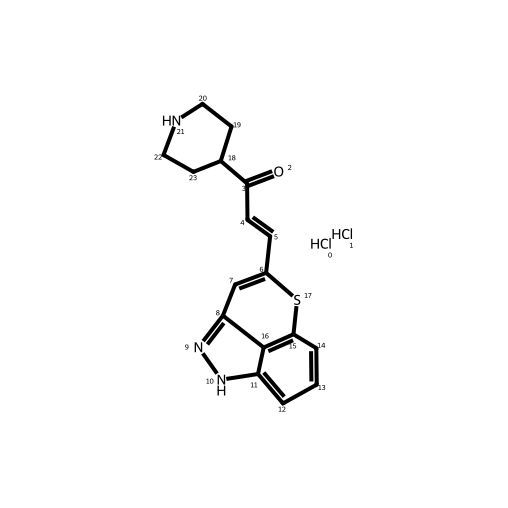 Cl.Cl.O=C(/C=C/C1=Cc2n[nH]c3cccc(c23)S1)C1CCNCC1